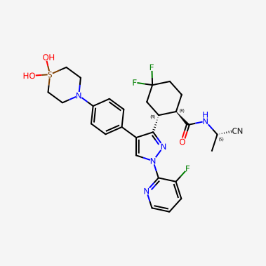 C[C@@H](C#N)NC(=O)[C@@H]1CCC(F)(F)C[C@H]1c1nn(-c2ncccc2F)cc1-c1ccc(N2CCS(O)(O)CC2)cc1